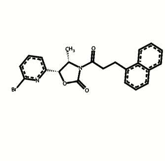 C[C@H]1[C@@H](c2cccc(Br)n2)OC(=O)N1C(=O)CCc1cccc2ccccc12